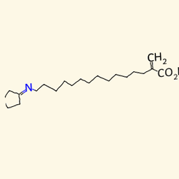 C=C(CCCCCCCCCCCCCN=C1CCCC1)C(=O)O